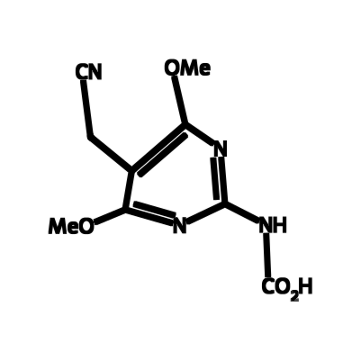 COc1nc(NC(=O)O)nc(OC)c1CC#N